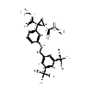 COC(=O)[C@@]1(c2cccc(OCc3cc(C(F)(F)F)cc(C(F)(F)F)c3)c2)C[C@@H]1C(=O)NO